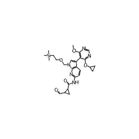 COc1ncnc(OC2CC2)c1-c1cn(COCC[Si](C)(C)C)c2nc(NC(=O)C3CC3C=O)ccc12